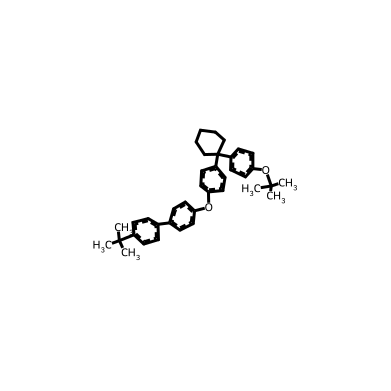 CC(C)(C)Oc1ccc(C2(c3ccc(Oc4ccc(-c5ccc(C(C)(C)C)cc5)cc4)cc3)CCCCC2)cc1